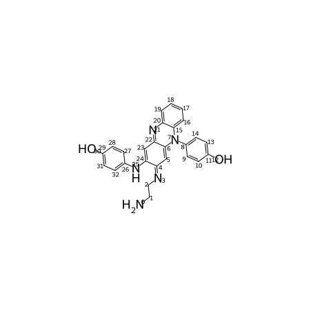 NCC/N=c1/cc2n(-c3ccc(O)cc3)c3ccccc3nc-2cc1Nc1ccc(O)cc1